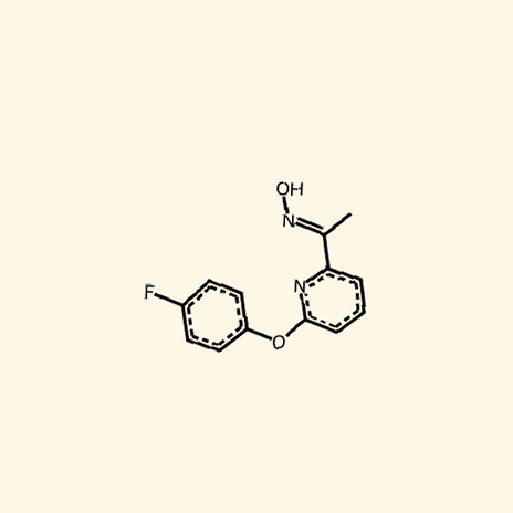 CC(=NO)c1cccc(Oc2ccc(F)cc2)n1